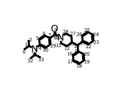 CC(C)N(c1ccc(C(=O)N2CCC(C(c3ccccc3)c3ccccc3)CC2)cc1)C(C)C